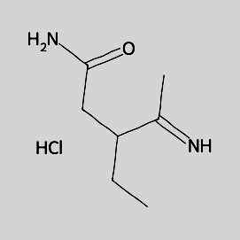 CCC(CC(N)=O)C(C)=N.Cl